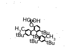 Cc1cc(Cc2c(C(C)(C)C)ccc(OP(O)O)c2-c2cc(C)c(C(C)(C)C)cc2C(C)(C)C)c(C(C)(C)C)cc1C(C)(C)C